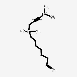 C=CCCCCCC[Si](C)(C)CC#C[SiH](C)C